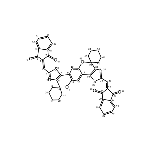 O=C1C(=Cc2nc3c(s2)-c2cc4c(cc2OC32CCCCC2)-c2sc(C=C3C(=O)c5ccccc5C3=O)nc2C2(CCCCC2)O4)C(=O)c2ccccc21